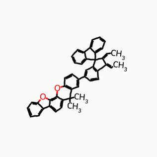 C/C=C1\C(=C/C)C2(c3cc(-c4ccc5c(c4)C(C)(C)c4ccc6c(oc7ccccc76)c4O5)ccc31)c1ccccc1-c1ccccc12